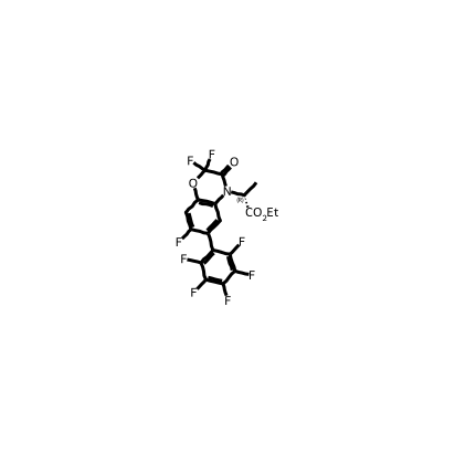 CCOC(=O)[C@@H](C)N1C(=O)C(F)(F)Oc2cc(F)c(-c3c(F)c(F)c(F)c(F)c3F)cc21